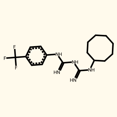 N=C(NC(=N)NC1CCCCCCC1)Nc1ccc(C(F)(F)F)cc1